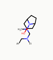 CCN(CC(C)C)CN(C)N1C2CCC1CC(O)C2